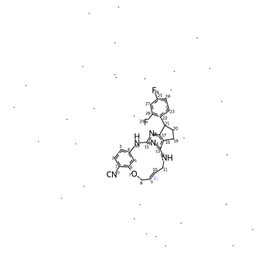 [C-]#[N+]c1ccc2cc1OC/C=C/CNc1nc(nc3c1CCC3c1ccc(F)cc1F)N2